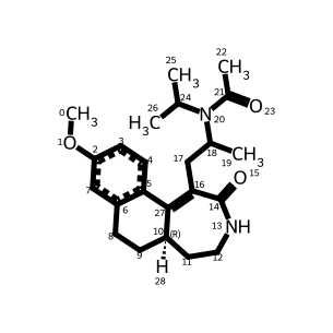 COc1ccc2c(c1)CC[C@@H]1CCNC(=O)C(CC(C)N(C(C)=O)C(C)C)=C21